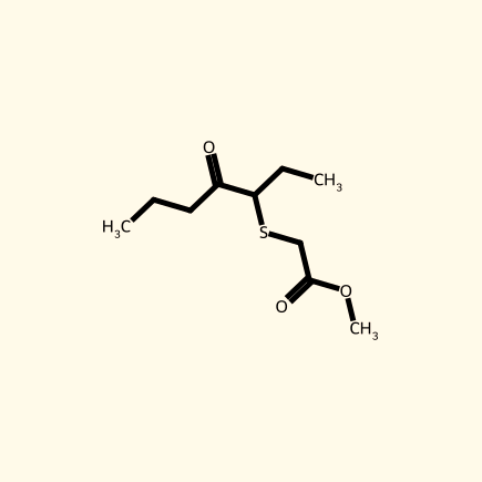 CCCC(=O)C(CC)SCC(=O)OC